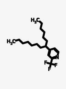 CCCCCCCC(CCCCCC)c1ccnc(C(F)(F)F)c1